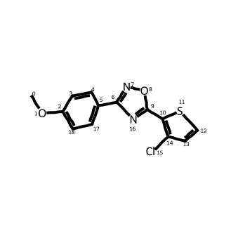 COc1ccc(-c2noc(-c3sccc3Cl)n2)cc1